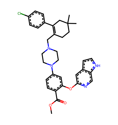 COC(=O)c1ccc(N2CCN(CC3=C(c4ccc(Cl)cc4)CC(C)(C)CC3)CC2)cc1Oc1cc2cc[nH]c2cn1